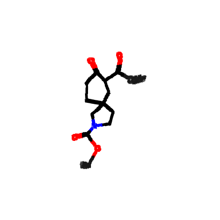 COC(=O)C1CC2(CCC1=O)CCN(C(=O)OC(C)(C)C)C2